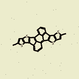 Cc1cc2sc3c(c4cccc5c4c3c3cccc4c6c7sc(C)cc7sc6c5c43)c2s1